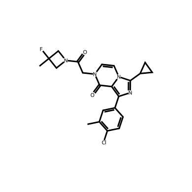 Cc1cc(-c2nc(C3CC3)n3ccn(CC(=O)N4CC(C)(F)C4)c(=O)c23)ccc1Cl